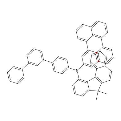 CC1(C)c2cccc(N(c3ccc(-c4cccc(-c5ccccc5)c4)cc3)c3cccc(-c4cccc5cccc(-c6ccccc6)c45)c3)c2-c2c1ccc1ccccc21